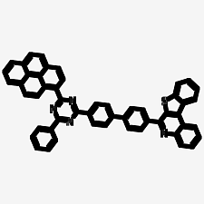 c1ccc(-c2nc(-c3ccc(-c4ccc(-c5nc6ccccc6c6c5sc5ccccc56)cc4)cc3)nc(-c3ccc4ccc5cccc6ccc3c4c56)n2)cc1